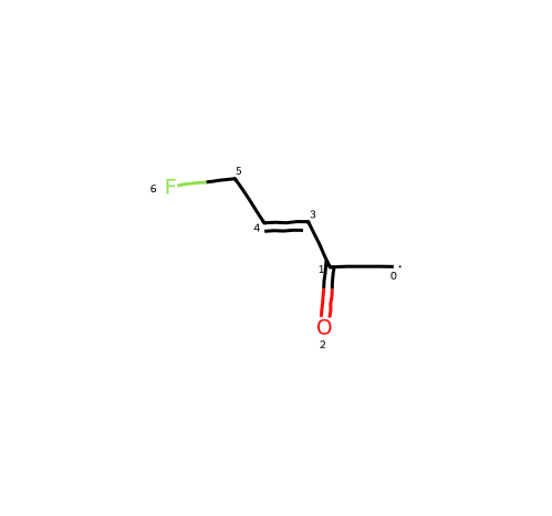 [CH2]C(=O)C=CCF